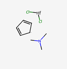 CN(C)C.[CH]1C=CC=C1.[Cl][Hf][Cl]